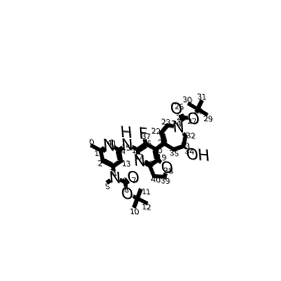 Cc1cc(N(C)C(=O)OC(C)(C)C)cc(Nc2nc3c(c(C4=CCN(C(=O)OC(C)(C)C)C[C@H](O)C4)c2F)OCC3)n1